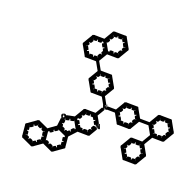 c1ccc(-c2ccccc2-c2ccc(N(c3ccc(-c4cccc5ccccc45)cc3)c3cc4oc5c6ccccc6ccc5c4cn3)cc2)cc1